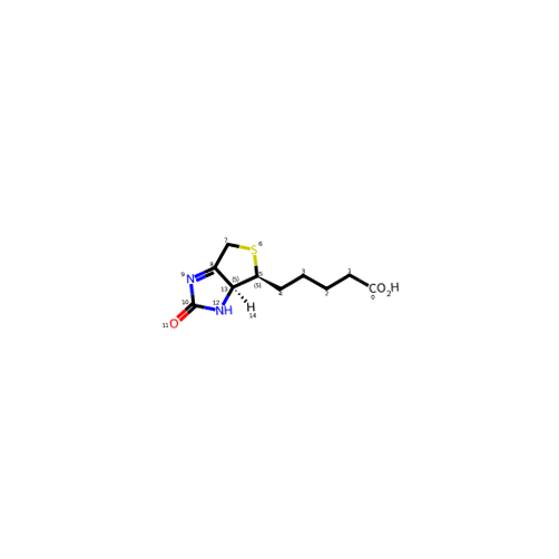 O=C(O)CCCC[C@@H]1SCC2=NC(=O)N[C@@H]21